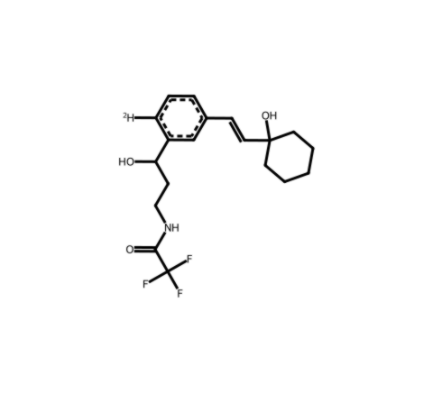 [2H]c1ccc(C=CC2(O)CCCCC2)cc1C(O)CCNC(=O)C(F)(F)F